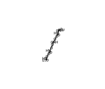 CCCCNC(=O)CNC(=O)COCCOCCNC(=O)COCCOCCNC(=O)COCCOCNC(=O)CC